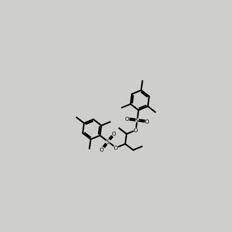 CCC(OS(=O)(=O)c1c(C)cc(C)cc1C)C(C)OS(=O)(=O)c1c(C)cc(C)cc1C